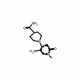 Cn1cc(N)c(N2CCC(C(N)=O)CC2)cc1=O